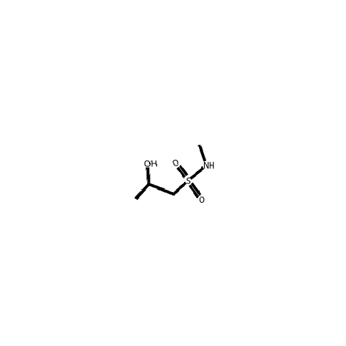 CNS(=O)(=O)CC(C)O